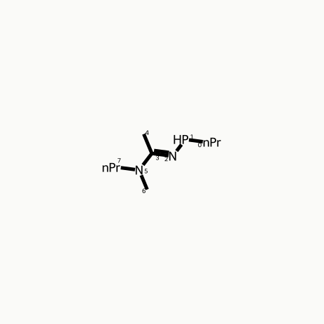 CCCP/N=C(\C)N(C)CCC